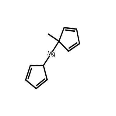 C[C]1([Mg][CH]2C=CC=C2)C=CC=C1